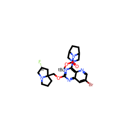 CC(C)(C)OC(=O)N1C2CCC1CN(c1nc(OCC34CCCN3C[C@H](F)C4)nc3cc(Br)cnc13)C2